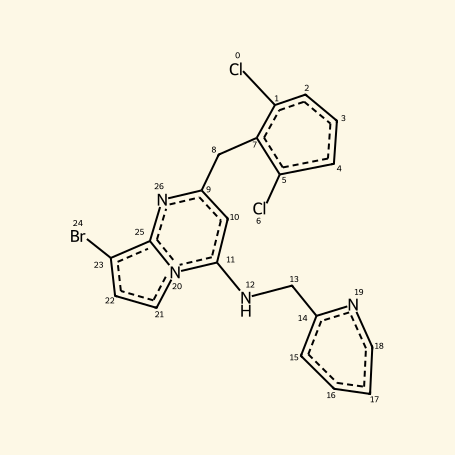 Clc1cccc(Cl)c1Cc1cc(NCc2ccccn2)n2ccc(Br)c2n1